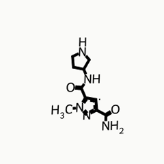 Cn1nc(C(N)=O)[c]c1C(=O)NC1CCNC1